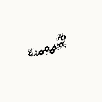 COc1nc(O[C@H]2CCc3c(-c4cccc(-c5ccc(CNC[C@@H]6CCC(=O)N6)cc5)c4Cl)cccc32)c(Cl)cc1CN1CCC[C@H](C(=O)O)C1